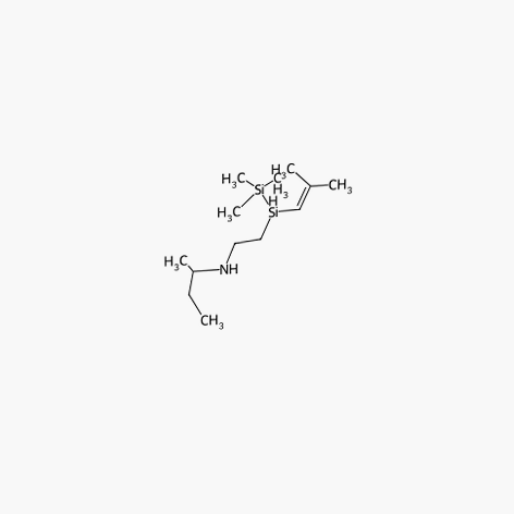 CCC(C)NCC[SiH](C=C(C)C)[Si](C)(C)C